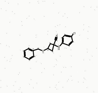 N#CC1(Nc2ccc(Cl)cc2)CC(OCc2ccccc2)C1